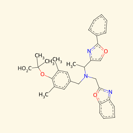 Cc1cc(CN(Cc2nc3ccccc3o2)C(C)c2coc(-c3ccccc3)n2)cc(C)c1OC(C)(C)C(=O)O